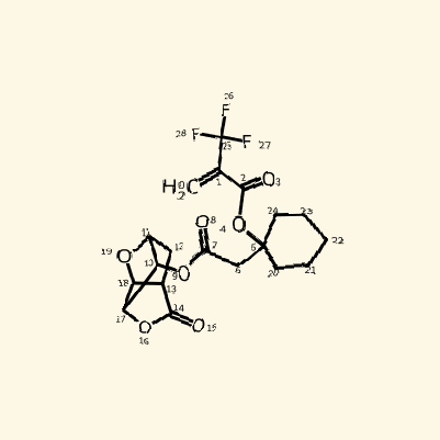 C=C(C(=O)OC1(CC(=O)OC2C3CC4C(=O)OC2C4O3)CCCCC1)C(F)(F)F